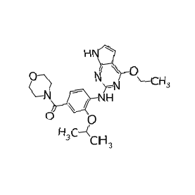 CCOc1nc(Nc2ccc(C(=O)N3CCOCC3)cc2OC(C)C)nc2[nH]ccc12